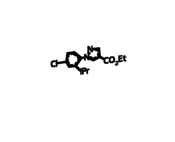 CCOC(=O)c1cnn(-c2ccc(Cl)cc2C(C)C)c1